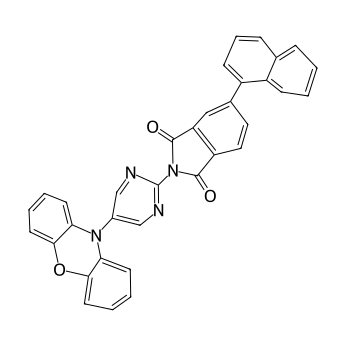 O=C1c2ccc(-c3cccc4ccccc34)cc2C(=O)N1c1ncc(N2c3ccccc3Oc3ccccc32)cn1